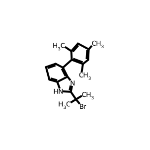 Cc1cc(C)c(-c2cccc3[nH]c(C(C)(C)Br)nc23)c(C)c1